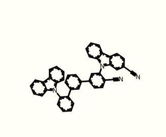 N#Cc1ccc2c3ccccc3n(-c3cc(-c4cccc(-c5ccccc5-n5c6ccccc6c6ccccc65)c4)ccc3C#N)c2c1